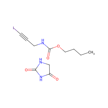 CCCCOC(=O)NCC#CI.O=C1CNC(=O)N1